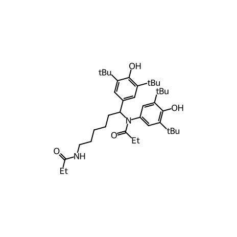 CCC(=O)NCCCCCC(c1cc(C(C)(C)C)c(O)c(C(C)(C)C)c1)N(C(=O)CC)c1cc(C(C)(C)C)c(O)c(C(C)(C)C)c1